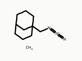 C.[N-]=[N+]=NCC12CCCC(CCC1)C2